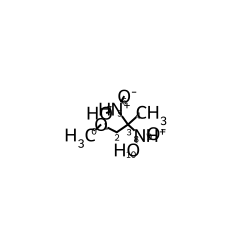 COCC(C)([NH+]([O-])O)[NH+]([O-])O